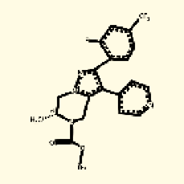 C[C@@H]1Cn2nc(-c3ccc(C(F)(F)F)cc3F)c(-c3ccncc3)c2CN1C(=O)OC(C)(C)C